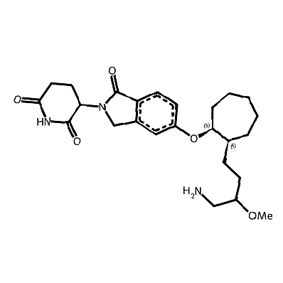 COC(CN)CC[C@@H]1CCCCC[C@@H]1Oc1ccc2c(c1)CN(C1CCC(=O)NC1=O)C2=O